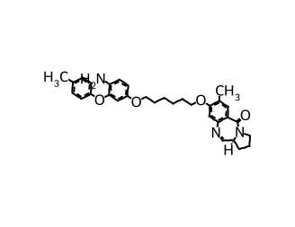 Cc1ccc(Oc2cc(OCCCCCCOc3cc4c(cc3C)C(=O)N3CCC[C@H]3C=N4)ccc2N)cc1